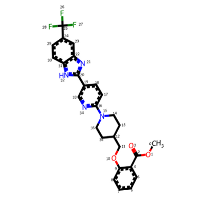 COC(=O)c1ccccc1OCC1CCN(c2ccc(-c3nc4cc(C(F)(F)F)ccc4[nH]3)cn2)CC1